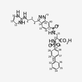 Cn1nc(CCCNC2NC=CCN2)c2ccc(C(=O)NCC(NS(=O)(=O)c3ccc(-c4ccccc4)cc3)C(=O)O)cc21